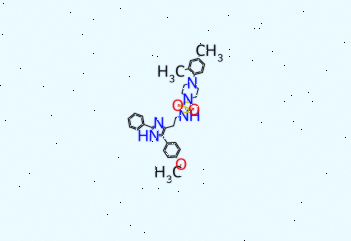 COc1ccc(-c2[nH]c(-c3ccccc3)nc2CCNS(=O)(=O)N2CCN(c3ccc(C)cc3C)CC2)cc1